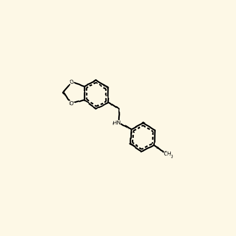 Cc1ccc(NCc2ccc3c(c2)OCO3)cc1